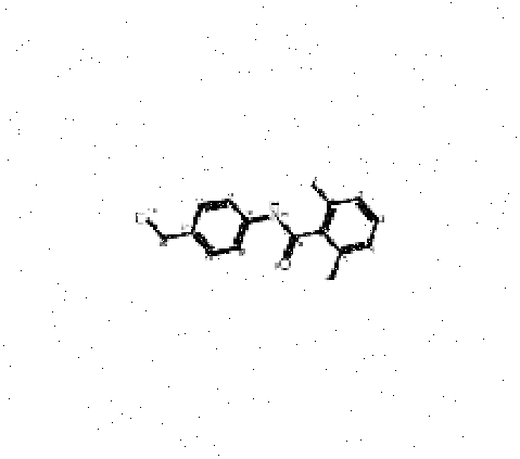 Cc1cccc(C)c1C(=O)Nc1ccc(CCl)cc1